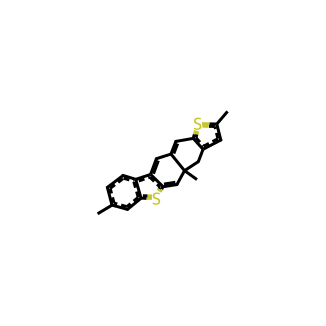 Cc1ccc2c3c(sc2c1)=CC1(C)Cc2cc(C)sc2C=C1C=3